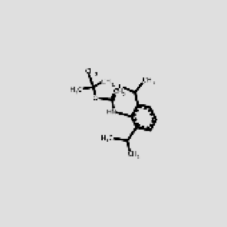 C=C(Nc1c(C(C)C)cccc1C(C)C)OC(C)(C)C